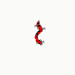 O=C1CCC(N2Cc3cc(N4CCC(CN5CCC(c6ccc(-c7cnc8[nH]cc(C(=O)c9c(F)ccc(NS(=O)(=O)N%10CC[C@@H](F)C%10)c9F)c8c7)cc6)CC5)CC4)ccc3C2=O)C(=O)N1